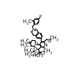 COCc1nc(C)c(C(OC(C)(C)C)C(=O)O)c(N2CCC(C)(C)CC2)c1-c1ccc2c(c1)CCN(Cc1ccc(F)cc1C)C2